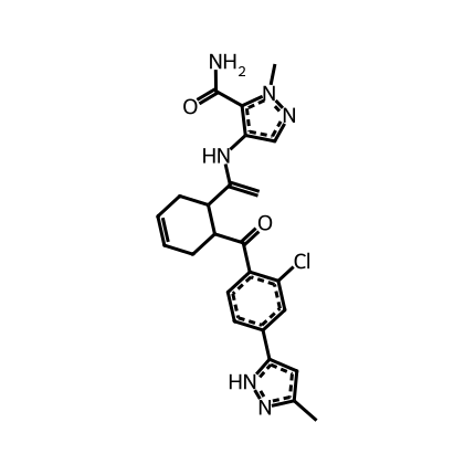 C=C(Nc1cnn(C)c1C(N)=O)C1CC=CCC1C(=O)c1ccc(-c2cc(C)n[nH]2)cc1Cl